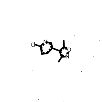 Cc1noc(C)c1-c1[c]nc(Cl)cc1